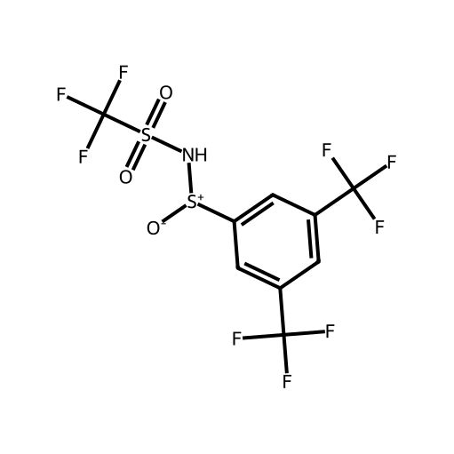 O=S(=O)(N[S+]([O-])c1cc(C(F)(F)F)cc(C(F)(F)F)c1)C(F)(F)F